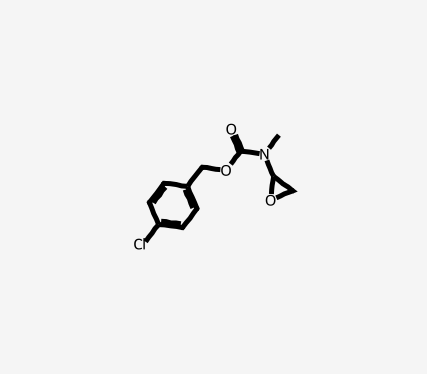 CN(C(=O)OCc1ccc(Cl)cc1)C1CO1